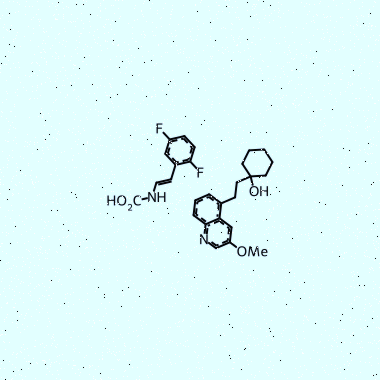 COc1cnc2cccc(CCC3(O)CCCCC3)c2c1.O=C(O)N/C=C/c1cc(F)ccc1F